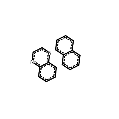 c1ccc2ccccc2c1.c1ccc2nccnc2c1